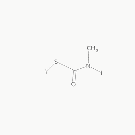 CN(I)C(=O)SI